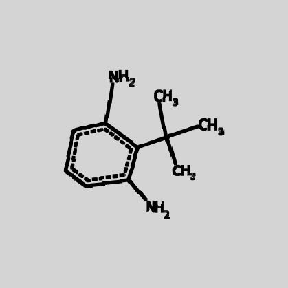 CC(C)(C)c1c(N)cccc1N